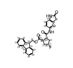 O=C1Cc2nc(NC(=O)[C@H]3C[C@@H](F)CN3C(=O)OCC3c4ccccc4-c4ccccc43)ccc2N1